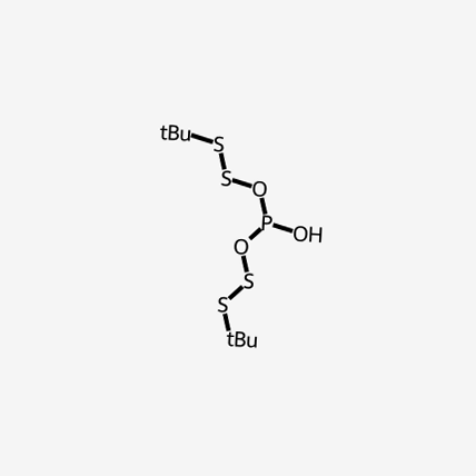 CC(C)(C)SSOP(O)OSSC(C)(C)C